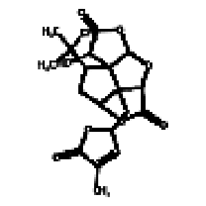 CC1=CC(CC23C4C[C@@H](C(C)(C)C)C25C(OC(=O)[C@@H]5O)OC3C(=O)O4)OC1=O